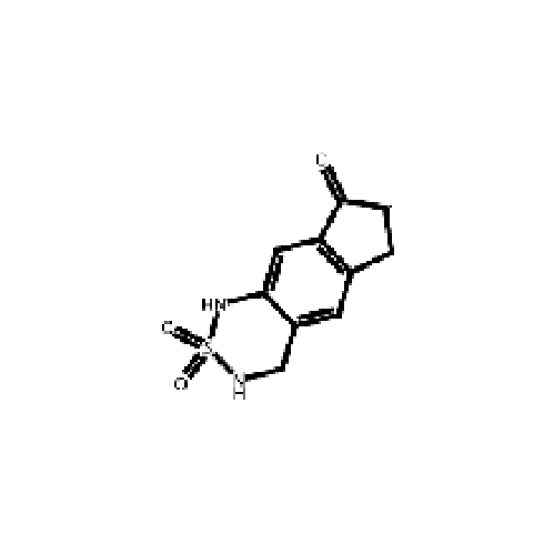 O=C1[C]Cc2cc3c(cc21)NS(=O)(=O)NC3